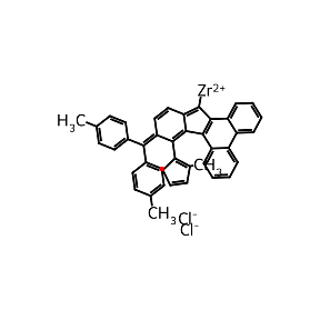 CC1=C(c2c3c(ccc2=C(c2ccc(C)cc2)c2ccc(C)cc2)=[C]([Zr+2])c2c-3c3ccccc3c3ccccc23)CC=C1.[Cl-].[Cl-]